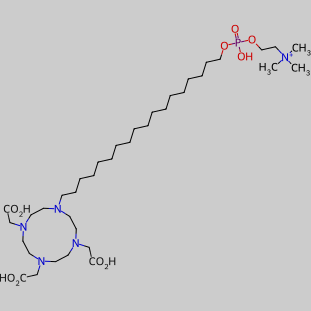 C[N+](C)(C)CCOP(=O)(O)OCCCCCCCCCCCCCCCCCCN1CCN(CC(=O)O)CCN(CC(=O)O)CCN(CC(=O)O)CC1